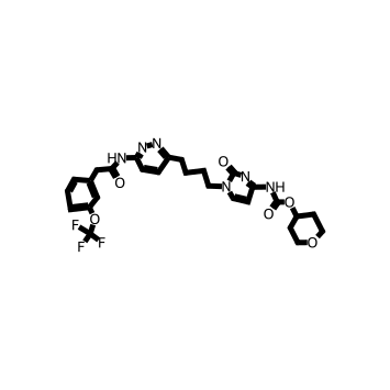 O=C(Cc1cccc(OC(F)(F)F)c1)Nc1ccc(CCCCn2ccc(NC(=O)OC3CCOCC3)nc2=O)nn1